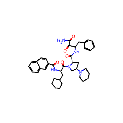 NC(=O)C(=O)C(Cc1ccccc1)NC(=O)[C@@H]1C[C@@H](N2CCCCC2)CN1C(=O)[C@@H](CC1CCCCC1)NC(=O)c1ccc2ccccc2c1